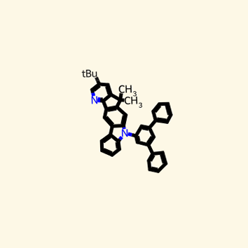 CC(C)(C)c1cnc2c(c1)C(C)(C)c1cc3c(cc1-2)c1ccccc1n3-c1cc(-c2ccccc2)cc(-c2ccccc2)c1